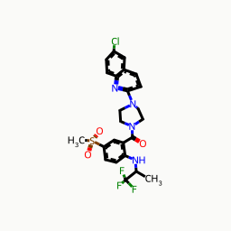 CC(Nc1ccc(S(C)(=O)=O)cc1C(=O)N1CCN(c2ccc3cc(Cl)ccc3n2)CC1)C(F)(F)F